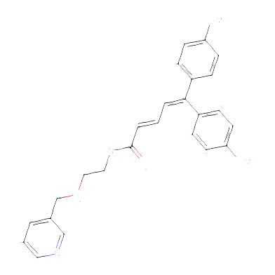 COc1ccc(C(=CC=CC(=O)NCCOCc2cccnc2)c2ccc(OC)cc2)cc1